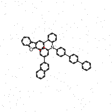 c1ccc(-c2ccc(-c3ccc(N(c4cccc(-c5ccc6ccccc6c5)c4)c4ccccc4-c4ccc5oc6ccccc6c5c4)cc3)cc2)cc1